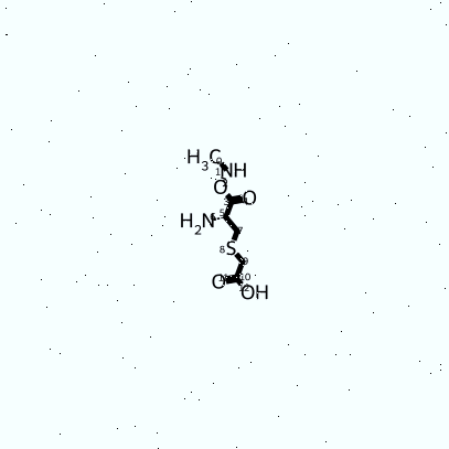 CNOC(=O)[C@@H](N)CSCC(=O)O